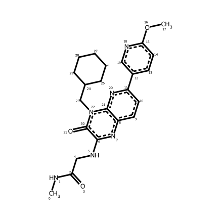 CNC(=O)CNc1nc2ccc(-c3ccc(OC)nc3)nc2n(CC2CCCCC2)c1=O